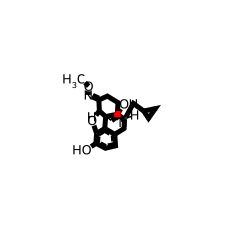 CON=C1CCC2(O)[C@H]3Cc4ccc(O)c5c4[C@@]2(CCN3CC2CC2)[C@H]1O5